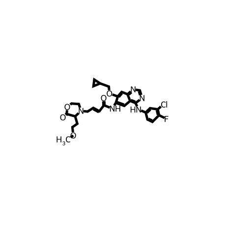 COCCC1C(=O)OCCN1CC=CC(=O)Nc1cc2c(Nc3ccc(F)c(Cl)c3)ncnc2cc1OCC1CC1